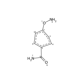 NOc1ccc(C(N)=O)cc1